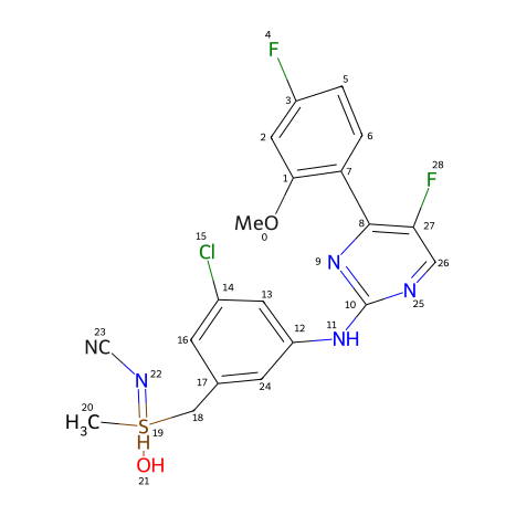 COc1cc(F)ccc1-c1nc(Nc2cc(Cl)cc(C[SH](C)(O)=NC#N)c2)ncc1F